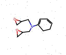 C1=CCCC(N(CC2CO2)CC2CO2)=C1